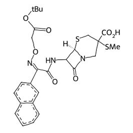 CSC1(C(=O)O)CS[C@@H]2C(NC(=O)C(=NOCC(=O)OC(C)(C)C)c3ccc4ccccc4c3)C(=O)N2C1